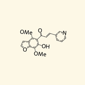 COc1c(C(=O)/C=C/c2cccnc2)c(O)c(OC)c2occc12